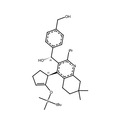 CC(C)c1nc2c(c([C@@H]3CCC=C3O[Si](C)(C)C(C)(C)C)c1[C@H](O)c1ccc(CO)cc1)CCC(C)(C)C2